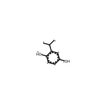 CC(C)c1cc(O)ccc1O